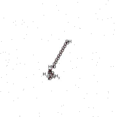 CCCN(CCCNC(=O)OC1CCC1)C(=O)C1=Cc2c(cnn2CCCCCNC(=O)CCOCCOCCOCCOCCOCCOCCOCCOCCOCCOCCOCCC(=O)O)N=C(N)C1